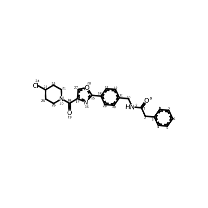 O=C(Cc1ccccc1)NCc1ccc(-c2nc(C(=O)N3CCC(Cl)CC3)co2)cc1